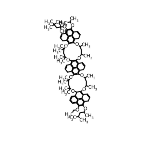 CCOc1c(OC(C)CC(C)C)c2c3c4c(cccc14)C1OC(C)(C)CC(C)(C)Oc4c(c5c6c(c7c(c8c6c4CC=C8)OC(C)(C)CC(C)(C)Oc4c(c6c8c(c(OC(C)C)c(OC(C)(C)CC(C)(C)C)c9c8c4CC=C9)C=CC6)OC(C)CC(C)O7)C=CC5)OC(C)CC(C)OC1=C3C=CC2